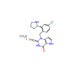 CC(=O)O.O=C1NC(=C=S)N(Cc2ccc(Cl)cc2[C@H]2CCCN2)c2cc[nH]c21